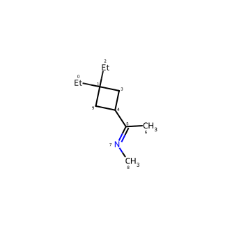 CCC1(CC)CC(/C(C)=N/C)C1